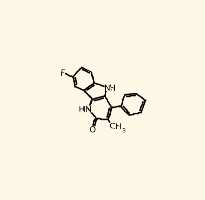 Cc1c(-c2ccccc2)c2[nH]c3ccc(F)cc3c2[nH]c1=O